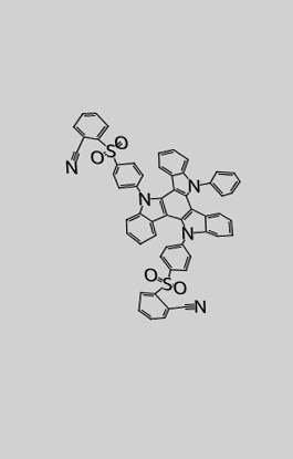 N#Cc1ccccc1S(=O)(=O)c1ccc(-n2c3ccccc3c3c4c(c5ccccc5n4-c4ccccc4)c4c(c5ccccc5n4-c4ccc(S(=O)(=O)c5ccccc5C#N)cc4)c32)cc1